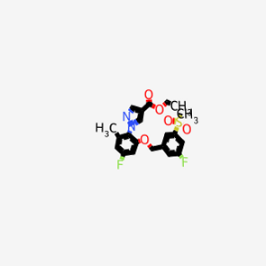 CCOC(=O)c1cnn(-c2c(C)cc(F)cc2OCc2cc(F)cc(S(C)(=O)=O)c2)c1